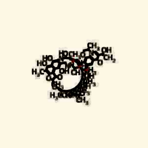 C=C(O)c1cn2c3c(c(N4CCN(/N=C/c5c6c(O)c7c(O)c(C)c8c(c7c5O)C(=O)[C@@](C)(O/C=C/[C@H](OC)[C@@H](C)[C@@H](OC(C)=O)[C@H](C)[C@H](O)[C@H](C)[C@@H](O)[C@@H](C)/C=C/C=C(/C)C(=O)N6)O8)C(C)C4)c(F)cc3c1=O)OCC2C